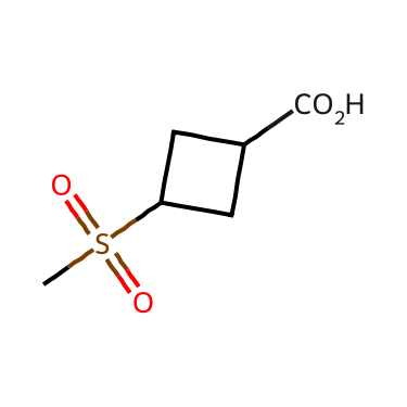 CS(=O)(=O)C1CC(C(=O)O)C1